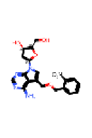 Nc1ncnc2c1c(COCc1ccccc1[N+](=O)[O-])cn2[C@H]1C[C@@H](O)[C@@H](CO)O1